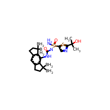 BC1(B)CCc2cc3c(c(NC(=O)N=S(N)(=O)c4cnc(C(C)(C)O)s4)c21)C(B)(B)CC3